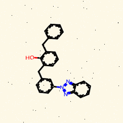 Oc1c(Cc2ccccc2)cccc1Cc1cccc(-n2nc3ccccc3n2)c1